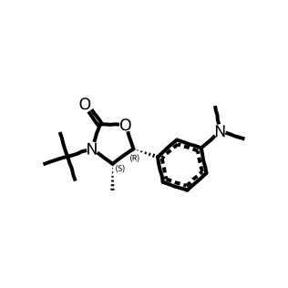 C[C@H]1[C@@H](c2cccc(N(C)C)c2)OC(=O)N1C(C)(C)C